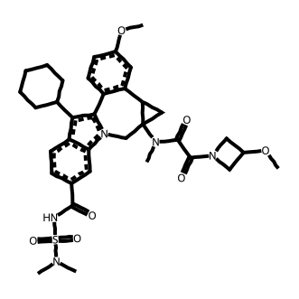 COc1ccc2c(c1)C1CC1(N(C)C(=O)C(=O)N1CC(OC)C1)Cn1c-2c(C2CCCCC2)c2ccc(C(=O)NS(=O)(=O)N(C)C)cc21